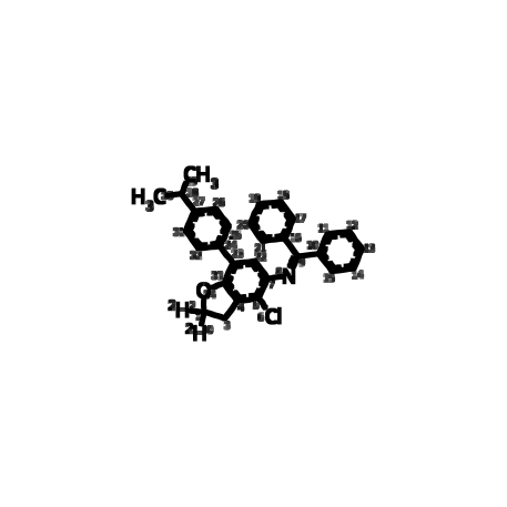 [2H]C1([2H])Cc2c(Cl)c(N=C(c3ccccc3)c3ccccc3)cc(-c3ccc(C(C)C)cc3)c2O1